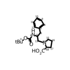 CC(C)(C)OC(=O)NC(Cc1ccccc1)CN1CCC[C@H]1C(=O)O